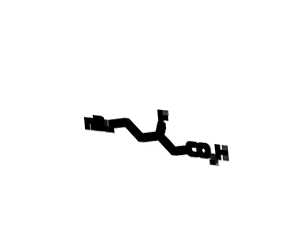 CCCCCCC(F)CC(=O)O